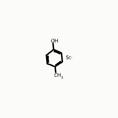 Cc1ccc(O)cc1.[Sc]